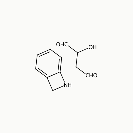 O=CCC(O)C=O.c1ccc2c(c1)CN2